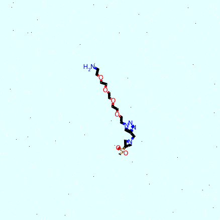 CS(=O)(=O)C1CN(Cc2cn(CCOCCOCCOCCOCCN)nn2)C1